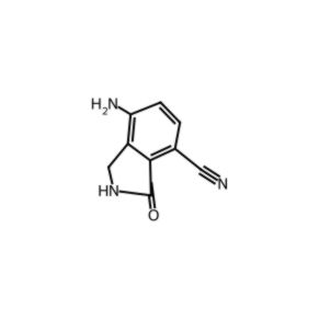 N#Cc1ccc(N)c2c1C(=O)NC2